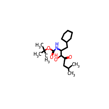 CC(C)CC(=O)C(O)C(CC1CCCCC1)NC(=O)OC(C)(C)C